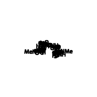 CN[C@@H](C)C(=O)N[C@H]1CCS[C@H]2CC(C)(C)[C@@H](C(=O)C[C@H]3c4ccccc4C[C@H]3C(=O)N[C@H]3CC[C@H](NC(=O)[C@@H]4Cc5ccccc5[C@@H]4NC(=O)[C@H]4N5C(=O)[C@@H](NC(=O)[C@H](C)NC)CCS[C@H]5CC4(C)C)CC3)N2C1=O